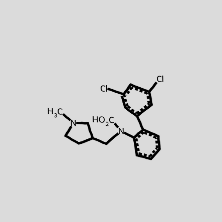 CN1CCC(CN(C(=O)O)c2ccccc2-c2cc(Cl)cc(Cl)c2)C1